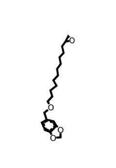 c1cc2c(cc1COCCCCCCCCCCCC1CO1)OCO2